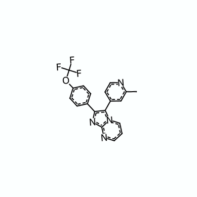 Cc1cc(-c2c(-c3ccc(OC(F)(F)F)cc3)nc3ncccn23)ccn1